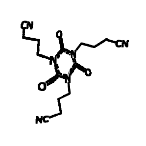 N#CCCCn1c(=O)n(CCCC#N)c(=O)n(CCCC#N)c1=O